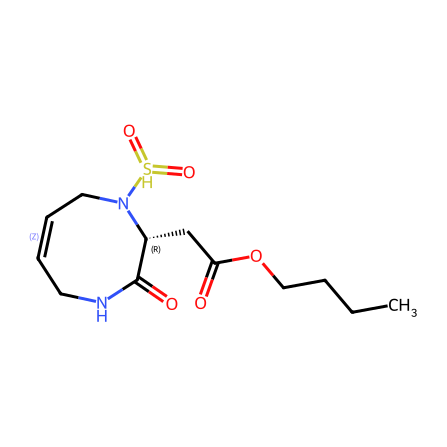 CCCCOC(=O)C[C@@H]1C(=O)NC/C=C\CN1[SH](=O)=O